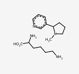 CN1CCCC1c1cccnc1.NCCCCC(N)C(=O)O